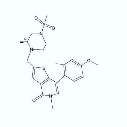 COc1ccc(-c2cn(C)c(=O)c3cc(CN4CCN(S(C)(=O)=O)C[C@@H]4C)sc23)c(C)c1